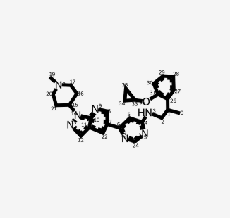 CC(CNc1cc(-c2cnc3c(cnn3C3CCN(C)CC3)c2)ncn1)c1ccccc1OC1CC1